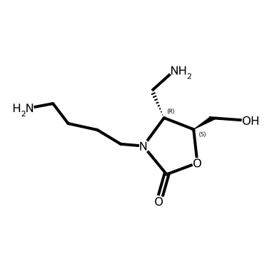 NCCCCN1C(=O)O[C@H](CO)[C@H]1CN